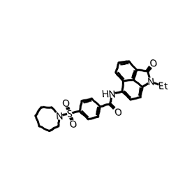 CCN1C(=O)c2cccc3c(NC(=O)c4ccc(S(=O)(=O)N5CCCCCC5)cc4)ccc1c23